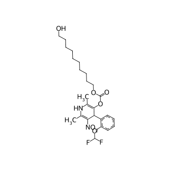 CC1=C(OC(=O)OCCCCCCCCCCO)C(c2ccccc2OC(F)F)C([N+](=O)[O-])=C(C)N1